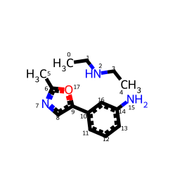 CCNCC.Cc1ncc(-c2cccc(N)c2)o1